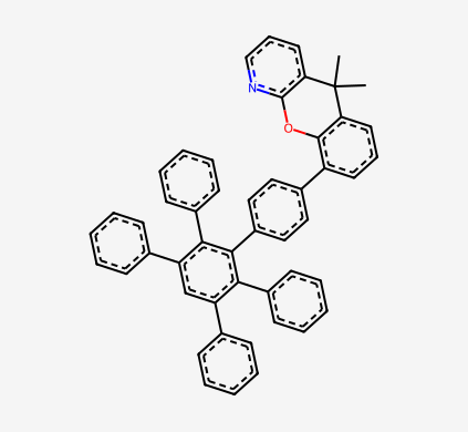 CC1(C)c2cccnc2Oc2c(-c3ccc(-c4c(-c5ccccc5)c(-c5ccccc5)cc(-c5ccccc5)c4-c4ccccc4)cc3)cccc21